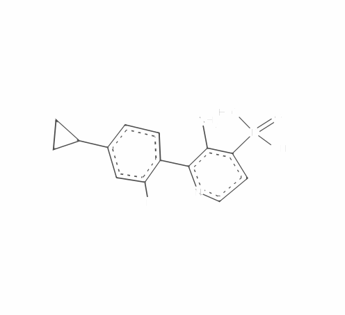 CP(C)(=O)c1ccnc(-c2ccc(C3CC3)cc2F)c1N